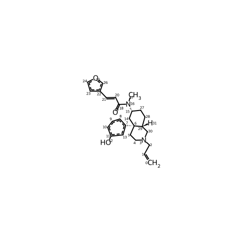 C=CCN1CC[C@@]2(c3cccc(O)c3)C[C@H](N(C)C(=O)/C=C/c3ccoc3)CC[C@@H]2C1